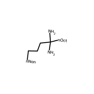 CCCCCCCCCCCCC(N)(N)CCCCCCCC